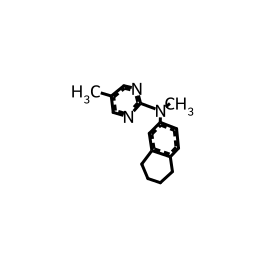 Cc1cnc(N(C)c2ccc3c(c2)CCCC3)nc1